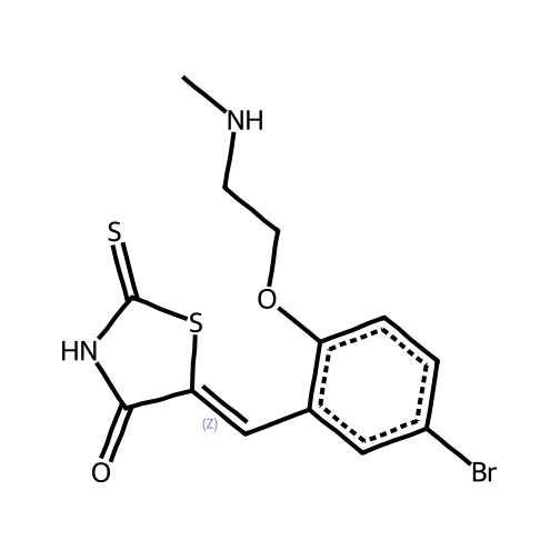 CNCCOc1ccc(Br)cc1/C=C1\SC(=S)NC1=O